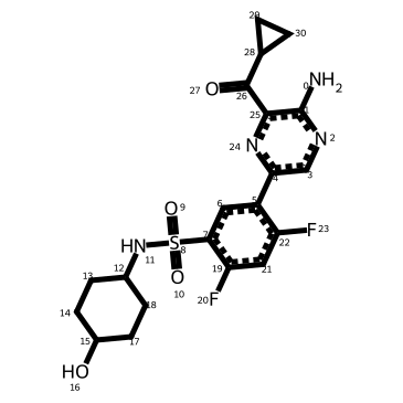 Nc1ncc(-c2cc(S(=O)(=O)NC3CCC(O)CC3)c(F)cc2F)nc1C(=O)C1CC1